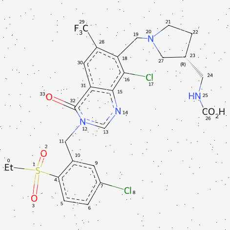 CCS(=O)(=O)c1ccc(Cl)cc1Cn1cnc2c(Cl)c(CN3CC[C@H](CNC(=O)O)C3)c(C(F)(F)F)cc2c1=O